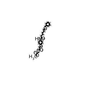 COC(=O)COC(=O)COc1ccc(NC(=O)CCCCCOCc2ccccc2)cc1